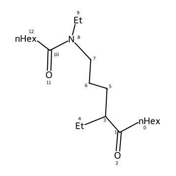 CCCCCCC(=O)C(CC)CCCN(CC)C(=O)CCCCCC